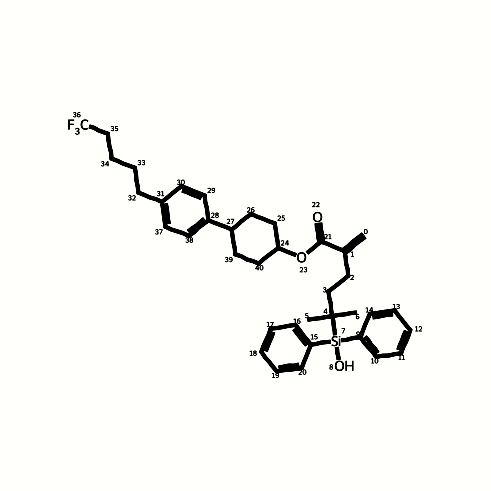 C=C(CCC(C)(C)[Si](O)(c1ccccc1)c1ccccc1)C(=O)OC1CCC(c2ccc(CCCCC(F)(F)F)cc2)CC1